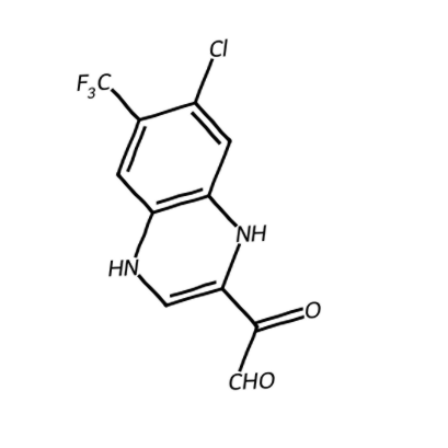 O=CC(=O)C1=CNc2cc(C(F)(F)F)c(Cl)cc2N1